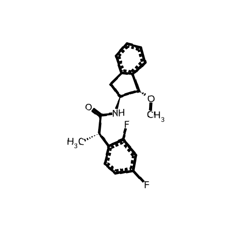 CO[C@H]1c2ccccc2C[C@@H]1NC(=O)[C@@H](C)c1ccc(F)cc1F